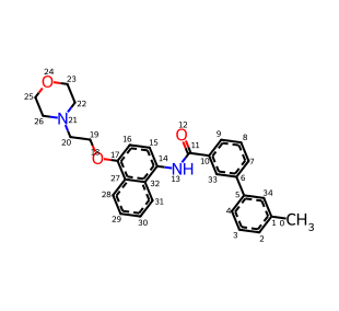 Cc1cccc(-c2cccc(C(=O)Nc3ccc(OCCN4CCOCC4)c4ccccc34)c2)c1